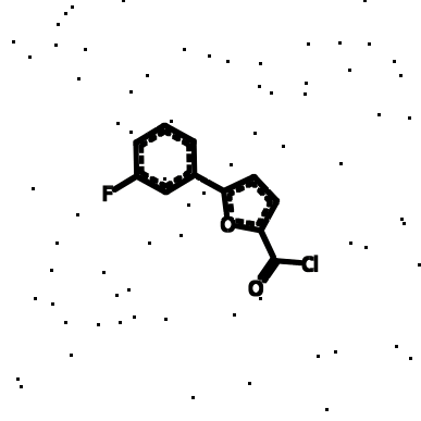 O=C(Cl)c1ccc(-c2cccc(F)c2)o1